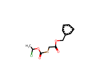 CC(Cl)OC(=O)SCC(=O)OCc1ccccc1